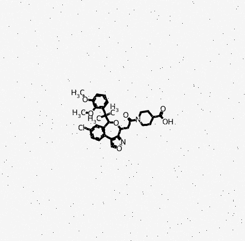 COc1cccc(C(C)(C)C2OC(CC(=O)N3CCC(C(=O)O)CC3)c3nocc3-c3ccc(Cl)cc32)c1OC